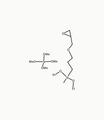 CCO[Si](C)(CCCOCC1CO1)OCC.CO[Si](OC)(OC)OC